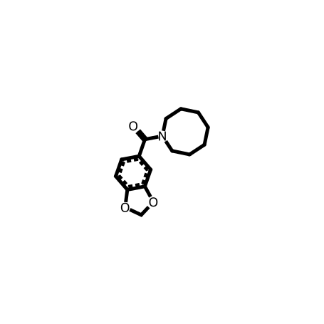 O=C(c1ccc2c(c1)OCO2)N1CCCCCCC1